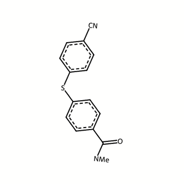 CNC(=O)c1ccc(Sc2ccc(C#N)cc2)cc1